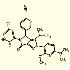 COc1nc(N(C)C)ncc1-n1nc2c(c1C(C)C)C(c1ccc(C#N)cc1)N(c1cc(Cl)c[nH]c1=O)C2=O